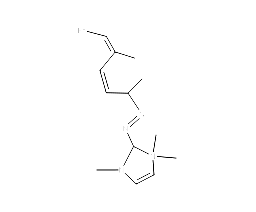 CC/C=C(C)\C=C/C(C)/N=N/C1N(C)C=C[N+]1(C)C